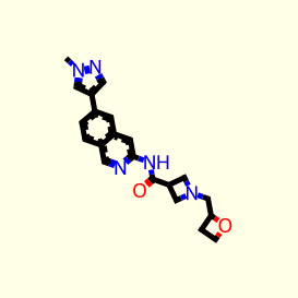 Cn1cc(-c2ccc3cnc(NC(=O)C4CN(CC5CCO5)C4)cc3c2)cn1